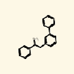 NC(Cc1cccc(-c2ccccc2)c1)c1ccccc1